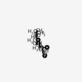 Cc1c(NC(=O)OC(C)(C)C)ccc2nc(N(C)CC(C(=O)NCc3ccccn3)c3ccccc3)oc(=O)c12